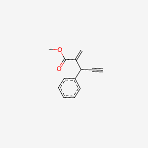 C#CC(C(=C)C(=O)OC)c1ccccc1